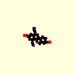 N#Cc1cc2c(c3c(C#N)cc(O)cc13)OCc1cc(O)ccc1-2